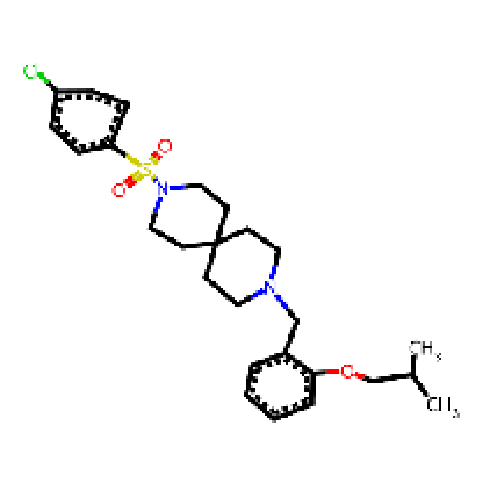 CC(C)COc1ccccc1CN1CCC2(CC1)CCN(S(=O)(=O)c1ccc(Cl)cc1)CC2